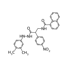 Cc1ccc(NNC(=O)C(CNC(=O)c2cccc3ccccc23)c2ccc([N+](=O)[O-])cc2)cc1C